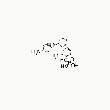 Nc1ccccc1.Nc1ccccc1.Nc1ccccc1.O=P(O)(O)O